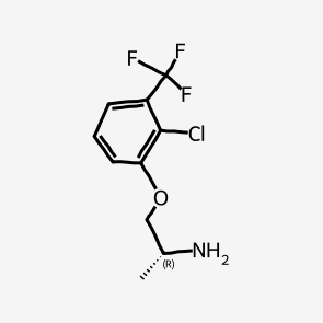 C[C@@H](N)COc1cccc(C(F)(F)F)c1Cl